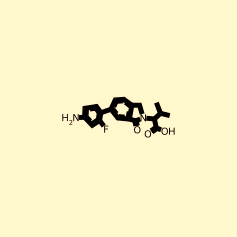 CC(C)C(C(=O)O)N1Cc2ccc(-c3ccc(N)cc3F)cc2C1=O